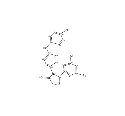 O=C1CSC(c2cc(F)cc(Cl)c2)N1c1ccc(Oc2ccc(Cl)cc2)cc1